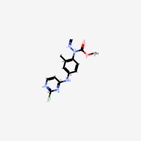 C=NN(C(=O)OC(C)(C)C)c1ccc(Nc2ccnc(Cl)n2)cc1C